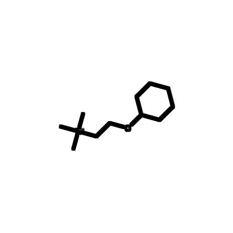 C[N+](C)(C)CCOC1CCCCC1